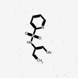 C=CC(=CCCC)NS(=O)(=O)c1ccccn1